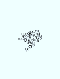 Cc1ccc(S(=O)(=O)OC2C(CO[Si](C)(C)C(C)(C)C)OC(n3cnc4c(=O)[nH]c(NC(=O)C(C)C)nc43)C2OS(=O)(=O)c2ccc(C)cc2)cc1